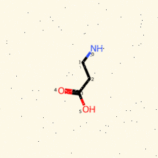 [NH]CCC(=O)O